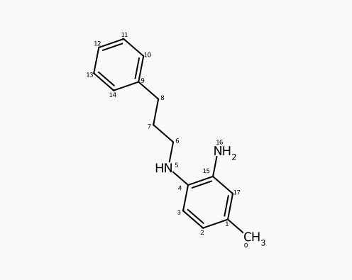 Cc1ccc(NCCCc2ccccc2)c(N)c1